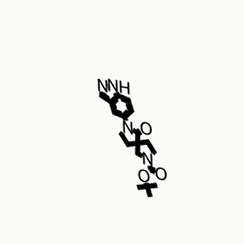 CC(C)(C)OC(=O)N1CCC2(CCN(c3ccc4[nH]ncc4c3)C2=O)C1